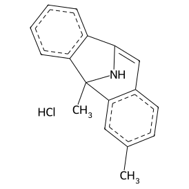 Cc1ccc2c(c1)C1(C)NC(=C2)c2ccccc21.Cl